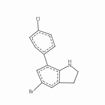 Clc1ccc(-c2cc(Br)cc3c2NCC3)cc1